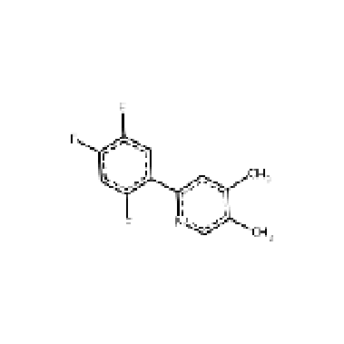 Cc1cnc(-c2cc(F)c(F)cc2F)cc1C